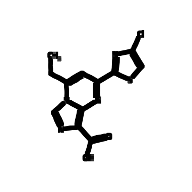 CCc1cc(-c2nc(Cl)cs2)nc2c(C(=O)O)ncn12